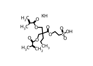 C=C(C)C(=O)OCC(CCC)(COC(=O)C(=C)C)C(=O)OCCS(=O)(=O)O.[KH]